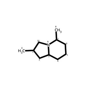 CC1CC2CCCC(C)N2C1